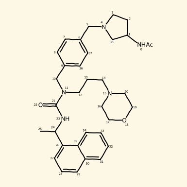 CC(=O)NC1CCN(Cc2ccc(CN(CCCN3CCOCC3)C(=O)NC(C)c3cccc4ccccc34)cc2)C1